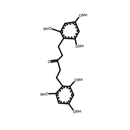 COc1cc(OC)c(CCC(=O)CCc2c(OC)cc(OC)cc2OC)c(OC)c1